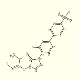 Cc1cc(-c2ccc(S(C)(=O)=O)cc2)cnc1-n1cnn(C/C(=C/F)CN)c1=O